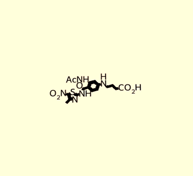 CC(=O)Nc1cc(NCCCC(=O)O)ccc1C(=O)Nc1nc(C)c([N+](=O)[O-])s1